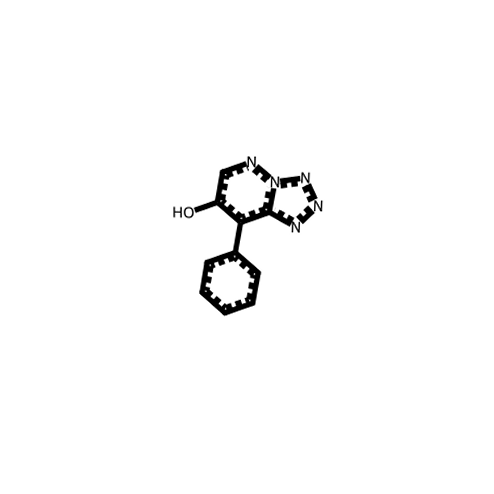 Oc1cnn2nnnc2c1-c1ccccc1